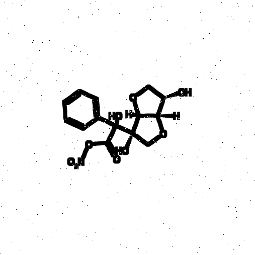 O=C(O[N+](=O)[O-])C(O)(c1ccccc1)[C@]1(O)CO[C@@H]2[C@@H](O)CO[C@@H]21